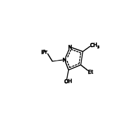 CCc1c(C)nn(CC(C)C)c1O